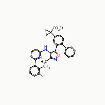 CCOC(=O)C1(c2ccc(-c3ccccc3)c(-c3onc(C)c3Nc3cccc(-c4cccc(F)c4C)n3)c2)CC1